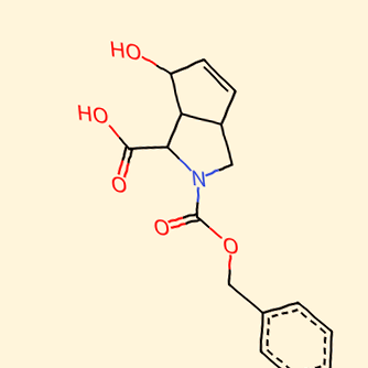 O=C(O)C1C2C(O)C=CC2CN1C(=O)OCc1ccccc1